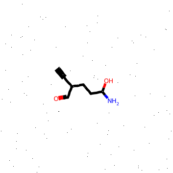 C#CC(C=O)CCC(N)O